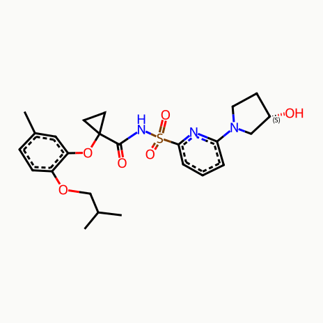 Cc1ccc(OCC(C)C)c(OC2(C(=O)NS(=O)(=O)c3cccc(N4CC[C@H](O)C4)n3)CC2)c1